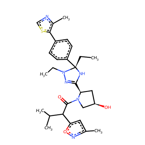 CCN1N=C([C@H]2C[C@@H](O)CN2C(=O)C(c2cc(C)no2)C(C)C)N[C@@]1(CC)c1ccc(-c2scnc2C)cc1